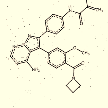 C=C(F)C(=O)Nc1ccc(-c2nn3ncnc(N)c3c2-c2ccc(C(=O)N3CCC3)c(OC)c2)cc1